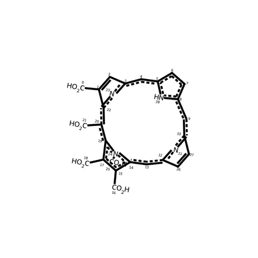 O=C(O)C1=Cc2cc3ccc(cc4nc(cc5c(C(=O)O)c(C(=O)O)c(c(C(=O)O)c1n2)n5C(=O)O)C=C4)[nH]3